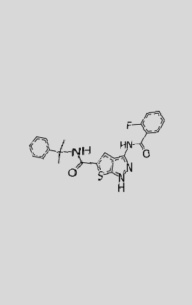 CC(C)(NC(=O)c1cc2c(NC(=O)c3ccccc3F)n[nH]c2s1)c1ccccc1